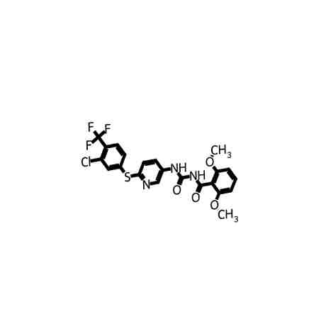 COc1cccc(OC)c1C(=O)NC(=O)Nc1ccc(Sc2ccc(C(F)(F)F)c(Cl)c2)nc1